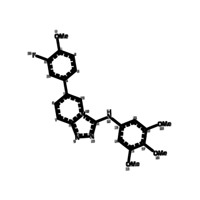 COc1ccc(-c2ccc3nnc(Nc4cc(OC)c(OC)c(OC)c4)n3c2)cc1F